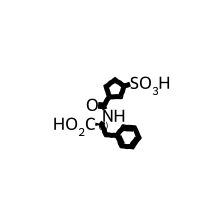 O=C(N[C@@H](Cc1ccccc1)C(=O)O)C1CCC(S(=O)(=O)O)C1